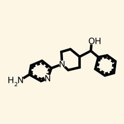 Nc1ccc(N2CCC(C(O)c3ccccc3)CC2)nc1